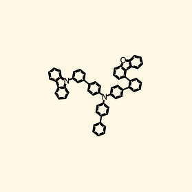 c1ccc(-c2ccc(N(c3ccc(-c4cccc(-n5c6ccccc6c6ccccc65)c4)cc3)c3ccc(-c4ccccc4-c4cccc5oc6ccccc6c45)cc3)cc2)cc1